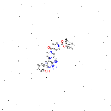 CC(C)(C)OC(=O)N1CCC(C(=O)N2CCN3C(/C=C(\N)c4ccccc4O)=C(N)NCC3C2)CC1